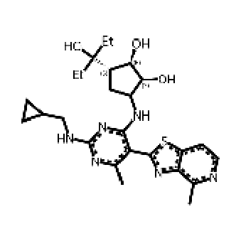 CCC(O)(CC)[C@H]1CC(Nc2nc(NCC3CC3)nc(C)c2-c2nc3c(C)nccc3s2)[C@H](O)[C@@H]1O